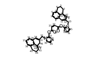 CC(C)C12CCCc3cccc(c31)C=C(Cn1ccnc1OC(=O)/C=C\C(=O)Oc1nccn1CC1=Cc3cccc4c3C(C(C)C)(CCC4)C1)C2